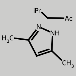 CC(=O)CC(C)C.Cc1cc(C)[nH]n1